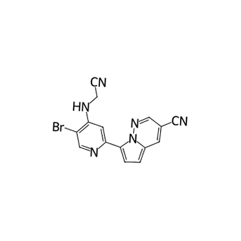 N#CCNc1cc(-c2ccc3cc(C#N)cnn23)ncc1Br